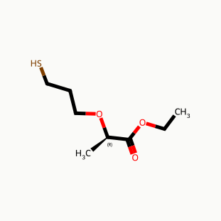 CCOC(=O)[C@@H](C)OCCCS